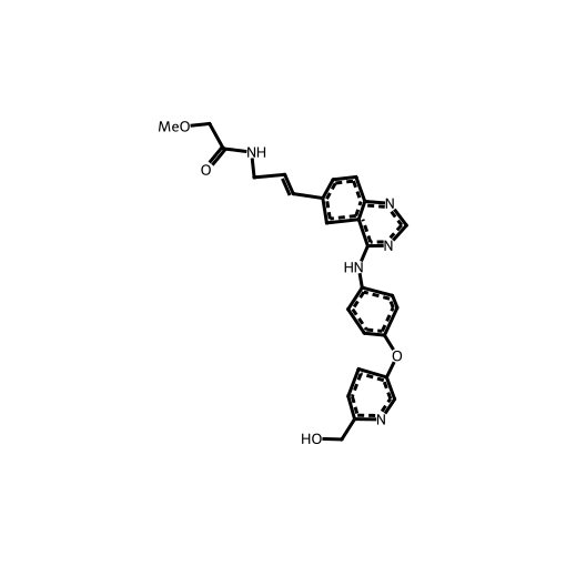 COCC(=O)NCC=Cc1ccc2ncnc(Nc3ccc(Oc4ccc(CO)nc4)cc3)c2c1